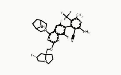 Cc1nc(N)c(C#N)c(-c2c(F)cc3c(N4CC5CCC(C4)N5)nc(OC[C@@]45CCCN4C[C@H](F)C5)nc3c2F)c1C(F)(F)F